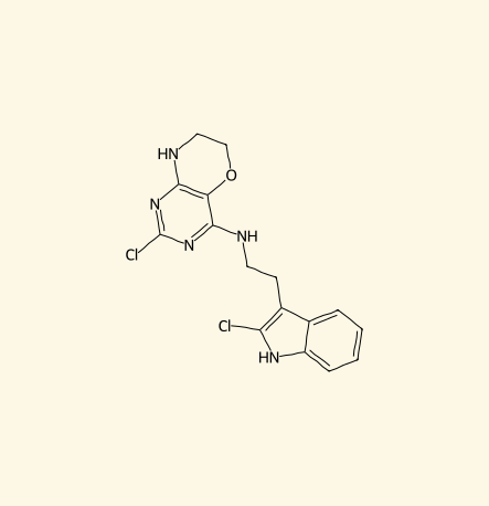 Clc1nc2c(c(NCCc3c(Cl)[nH]c4ccccc34)n1)OCCN2